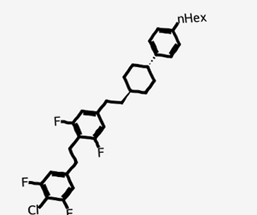 CCCCCCc1ccc([C@H]2CC[C@H](CCc3cc(F)c(CCc4cc(F)c(Cl)c(F)c4)c(F)c3)CC2)cc1